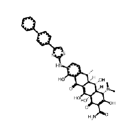 C[C@H]1c2ccc(Nc3nc(-c4ccc(-c5ccccc5)cc4)cs3)c(O)c2C(=O)C2=C(O)[C@]3(O)C(=O)C(C(N)=O)=C(O)[C@@H](N(C)C)[C@@H]3[C@@H](O)[C@@H]21